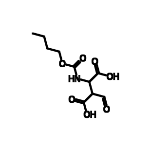 CCCCOC(=O)NC(C(=O)O)C(C=O)C(=O)O